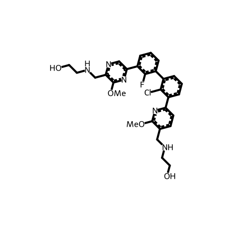 COc1nc(-c2cccc(-c3cccc(-c4cnc(CNCCO)c(OC)n4)c3F)c2Cl)ccc1CNCCO